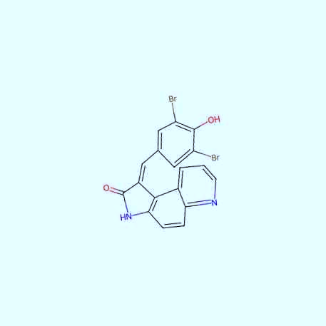 O=C1Nc2ccc3ncccc3c2/C1=C\c1cc(Br)c(O)c(Br)c1